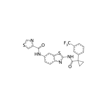 O=C(Nc1ccc2nc(NC(=O)C3(c4cccc(C(F)(F)F)c4)CC3)sc2c1)c1cscn1